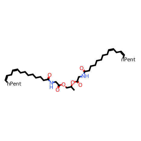 CCCCC/C=C\C/C=C\CCCCCCCC(=O)NCC(=O)OCC(C)OC(=O)CNC(=O)CCCCCCC/C=C\C/C=C\CCCCC